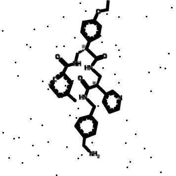 CCOc1ccc([C@@H](CNC(=O)c2cccc(C)c2)C(=O)NC[C@H](C(=O)NCc2ccc(CN)cc2)c2cccnc2)cc1